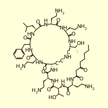 CCCCCC(=O)CC(=O)N[C@@H](CCN)C(=O)N[C@H](C(=O)N[C@@H](CCN)C(=O)N[C@H]1CCNC[C@H]([C@@H](C)O)NC(=O)[C@H](CCN)NC(=O)[C@H](CCN)NC(=O)[C@H](CC(C)C)NC(=O)C(Cc2ccccc2)NC(=O)[C@H](CCN)NC1=O)C(C)O